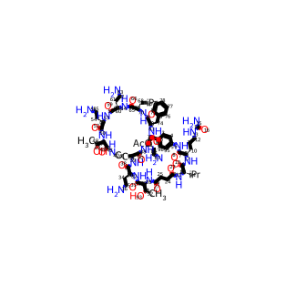 CC(=O)OCc1ccc(NC(=O)[C@H](CCCNC(N)=O)NC(=O)[C@@H](NC(=O)CCC(=O)N[C@H](C(=O)N[C@@H](CCN)C(=O)N[C@H]2CCNC(=O)[C@H]([C@@H](C)O)NC(=O)[C@H](CCN)NC(=O)[C@H](CCN)NC(=O)[C@H](CC(C)C)NC(=O)[C@@H](Cc3ccccc3)NC(=O)[C@H](CCN)NC2=O)[C@@H](C)O)C(C)C)cc1